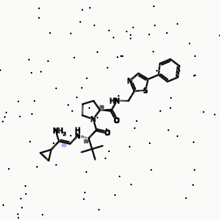 CC(C)(C)[C@H](N/C=C(\N)C1CC1)C(=O)N1CCC[C@H]1C(=O)NCc1ncc(-c2ccccc2)s1